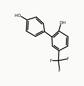 Oc1ccc(-c2cc(C(F)(F)F)ccc2O)cc1